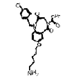 CCCC(=O)N1CC(=O)N(Cc2ccc(Cl)cc2)c2ccc(OCCCCCN)cc2C1=O